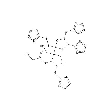 O=C(CO)OC(SSc1nccs1)C(CO)(CO)C(OSSc1nccs1)(SSc1nccs1)SSc1nccs1